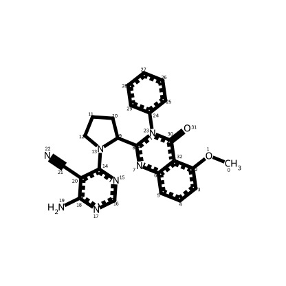 COc1cccc2nc(C3CCCN3c3ncnc(N)c3C#N)n(-c3ccccc3)c(=O)c12